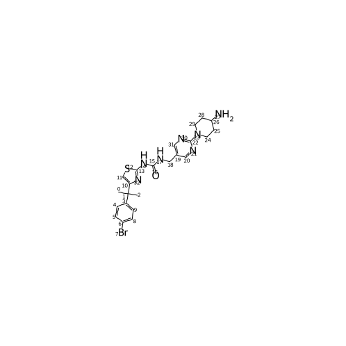 CC(C)(c1ccc(Br)cc1)c1csc(NC(=O)NCc2cnc(N3CCC(N)CC3)nc2)n1